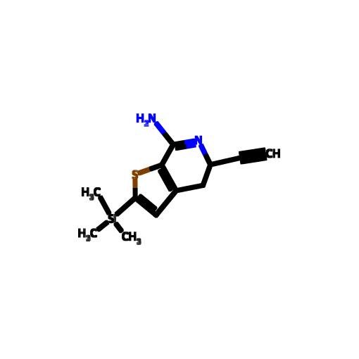 C#CC1Cc2cc([Si](C)(C)C)sc2C(N)=N1